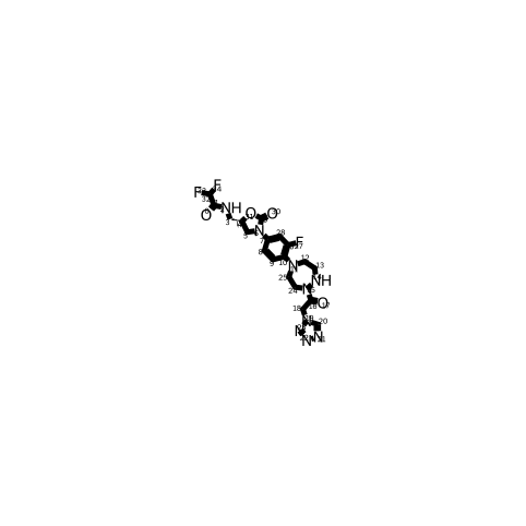 O=C(NC[C@H]1CN(c2ccc(N3CCNN(C(=O)Cn4cnnn4)CC3)c(F)c2)C(=O)O1)C(F)F